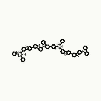 C1=Cc2c(n(-c3ccc4c(c3)sc3ccc(-c5ccc6c(c5)sc5ccc(C7N=C(c8ccccc8)N=C(c8ccc(C9C=Cc%10c(c%11ccccc%11n%10-c%10cccc%11c%10sc%10ccc(-c%12ccc%13c%14c(sc%13c%12)=CCC(C%12NC(c%13ccccc%13)=NC(c%13ccccc%13)N%12)C=%14)cc%10%11)C9)cc8)N7)cc56)cc34)c3ccccc23)CC1